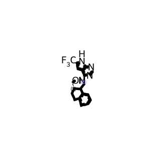 OC[C@H]1CCc2ccccc2C1/C=N/c1ncnc2[nH]c(C(F)(F)F)cc12